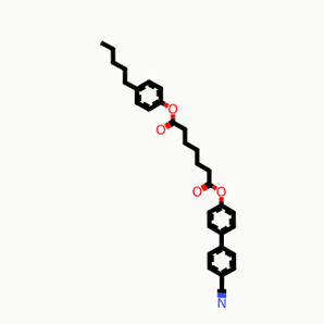 CCCCCc1ccc(OC(=O)CCCCCC(=O)Oc2ccc(-c3ccc(C#N)cc3)cc2)cc1